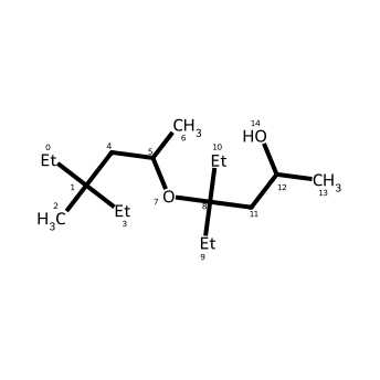 CCC(C)(CC)CC(C)OC(CC)(CC)CC(C)O